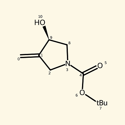 C=C1CN(C(=O)OC(C)(C)C)C[C@@H]1O